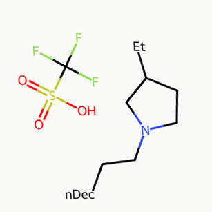 CCCCCCCCCCCCN1CCC(CC)C1.O=S(=O)(O)C(F)(F)F